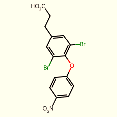 O=C(O)CCc1cc(Br)c(Oc2ccc([N+](=O)[O-])cc2)c(Br)c1